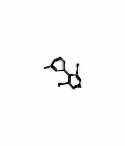 Cc1cccc(-c2c(F)cncc2F)c1